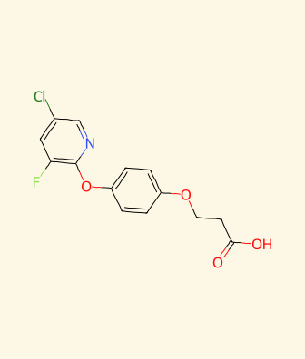 O=C(O)CCOc1ccc(Oc2ncc(Cl)cc2F)cc1